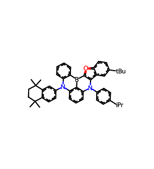 CC(C)c1ccc(N2c3cccc4c3B(c3ccccc3N4c3ccc4c(c3)C(C)(C)CCC4(C)C)c3oc4ccc(C(C)(C)C)cc4c32)cc1